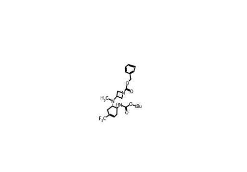 CN(C1CN(C(=O)OCc2ccccc2)C1)[C@H]1CC(C(F)(F)F)=CCC1NC(=O)OC(C)(C)C